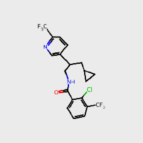 O=C(NCC(CC1CC1)c1ccc(C(F)(F)F)nc1)c1cccc(C(F)(F)F)c1Cl